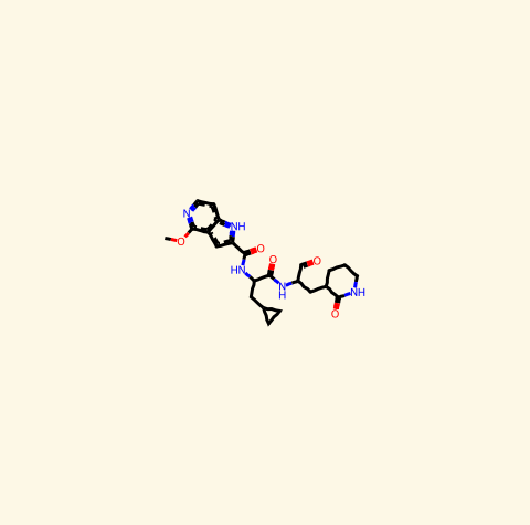 COc1nccc2[nH]c(C(=O)NC(CC3CC3)C(=O)NC(C=O)CC3CCCNC3=O)cc12